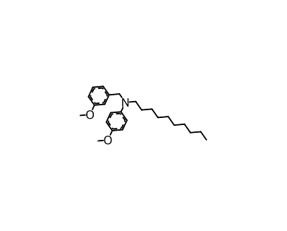 CCCCCCCCCCN(Cc1cccc(OC)c1)c1ccc(OC)cc1